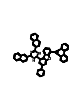 c1ccc(-c2cc(C3NC(c4ccc5ccccc5c4)=NC(c4ccc5ccccc5c4)N3)c3c(c2)oc2c(C4C5c6ccccc6-c6ccccc6C54)cccc23)cc1